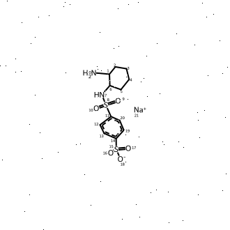 NC1CCCCC1NS(=O)(=O)c1ccc(S(=O)(=O)[O-])cc1.[Na+]